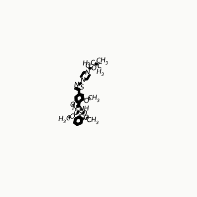 COc1cccc(OC)c1S(=O)(=O)Nc1noc2cc(-c3cnc(N4CCN(C(=O)OC(C)(C)C)CC4)s3)cc(OC)c12